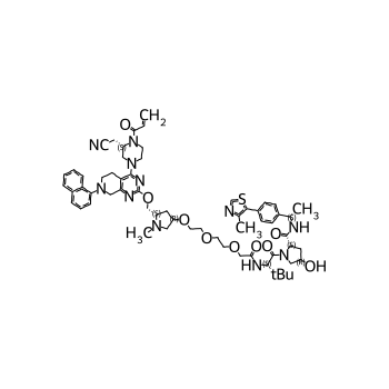 C=CC(=O)N1CCN(c2nc(OC[C@@H]3C[C@@H](OCCOCCOCC(=O)N[C@H](C(=O)N4C[C@H](O)C[C@H]4C(=O)N[C@@H](C)c4ccc(-c5scnc5C)cc4)C(C)(C)C)CN3C)nc3c2CCN(c2cccc4ccccc24)C3)C[C@@H]1CC#N